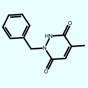 Cc1cc(=O)n(Cc2ccccc2)[nH]c1=O